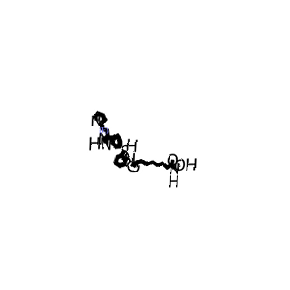 O=C(CCCCCCC(=O)Nc1ccccc1Sc1ccc2c(/C=C/c3ccccn3)n[nH]c2c1)NO